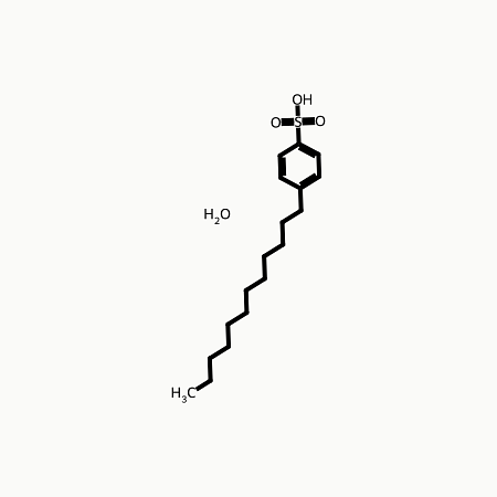 CCCCCCCCCCCCc1ccc(S(=O)(=O)O)cc1.O